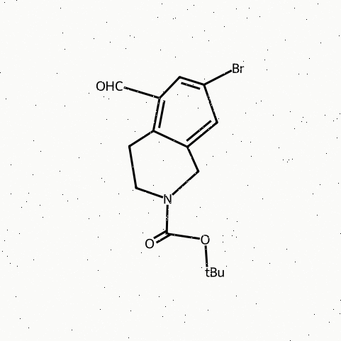 CC(C)(C)OC(=O)N1CCc2c(C=O)cc(Br)cc2C1